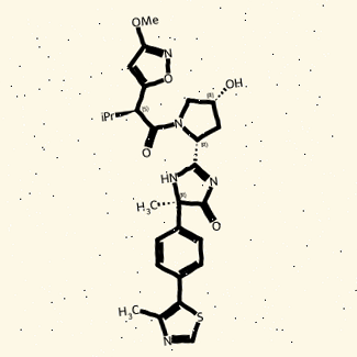 COc1cc([C@@H](C(=O)N2C[C@H](O)C[C@@H]2C2=NC(=O)[C@@](C)(c3ccc(-c4scnc4C)cc3)N2)C(C)C)on1